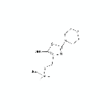 CC(C)(C)[Si](C)(C)OCc1nc(N2CCOCC2)sc1C=O